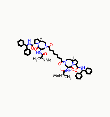 CN[C@@H](C)C(=O)N[C@H]1CN(C(=O)CCCCCCC(=O)N2CC[C@H]3CC[C@@H](C(=O)NC(c4ccccc4)c4ccccc4)N3C(=O)[C@@H](NC(=O)[C@H](C)NC)C2)CC[C@H]2CCC(C(=O)NC(c3ccccc3)c3ccccc3)N2C1=O